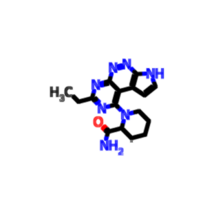 CCc1nc(N2CCC[CH]C2C(N)=O)c2c(nnc3[nH]ccc32)n1